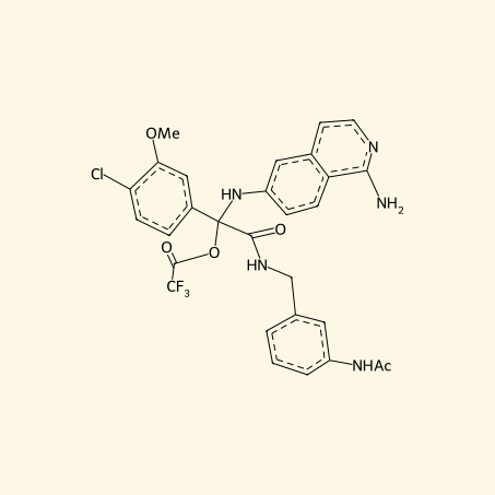 COc1cc(C(Nc2ccc3c(N)nccc3c2)(OC(=O)C(F)(F)F)C(=O)NCc2cccc(NC(C)=O)c2)ccc1Cl